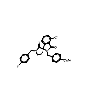 COc1ccc(CN2C(=O)c3c(Cl)cccc3[C@@]23CCN(Cc2ccc(F)cc2)C3=O)cc1